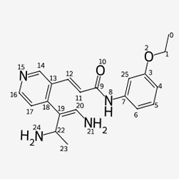 CCOc1cccc(NC(=O)/C=C/c2cnccc2/C(=C/N)C(C)N)c1